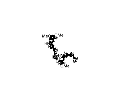 COc1cc(OC)c(F)c(Cc2c[nH]c3ncc(-c4cnn(CCS(=O)(=O)CCOc5nc(OC)c(F)c(Cc6c[nH]c7ncc(-c8cnn(CCS(C)(=O)=O)c8)cc67)c5F)c4)cc23)c1F